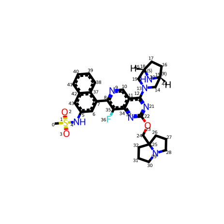 CS(=O)(=O)Nc1cc(-c2ncc3c(N4C[C@H]5CC[C@@H](C4)N5)nc(OCC45CCCN4CCC5)nc3c2F)c2ccccc2c1